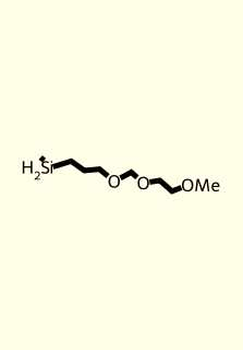 COCCOCOCCC[SiH2]C